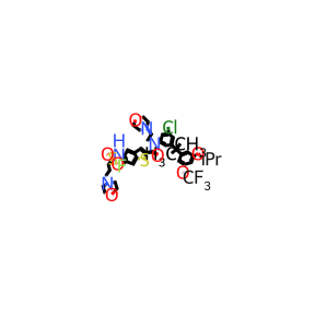 CC(C)Oc1cc(OC(F)(F)F)cc(C(C)(C)c2cc(Cl)cc(N(CCN3CCOCC3)C(=O)c3cc4cc(NS(=O)(=O)CCCN5CCOCC5)c(F)cc4s3)c2)c1